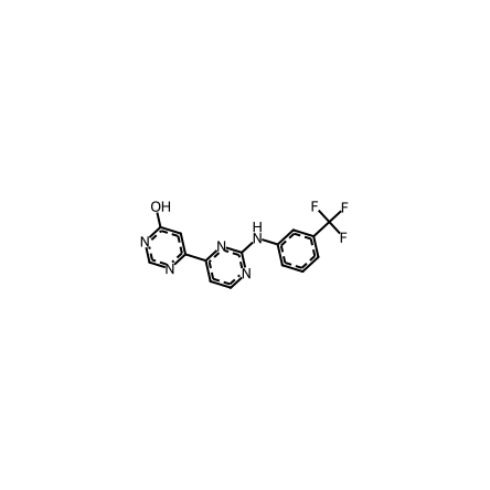 Oc1cc(-c2ccnc(Nc3cccc(C(F)(F)F)c3)n2)ncn1